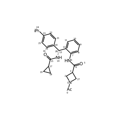 CC(=O)N1CC(C(=O)Nc2ccccc2[C@H](NC(=O)C2CC2)c2ccc(C(C)C)cc2)C1